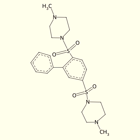 CN1CCN(S(=O)(=O)c2ccc(S(=O)(=O)N3CCN(C)CC3)c(-c3ccccc3)c2)CC1